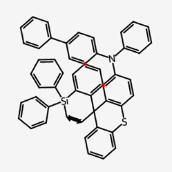 c1ccc(-c2ccc(N(c3ccccc3)c3ccc4c(c3)C3(c5ccccc5S4)c4ccccc4[Si](c4ccccc4)(c4ccccc4)c4ccccc43)cc2)cc1